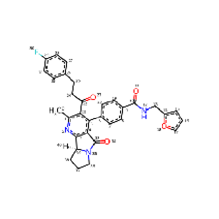 Cc1nc2c(c(-c3ccc(C(=O)NCc4ccco4)cc3)c1C(=O)CCc1ccc(F)cc1)C(=O)N1CCC[C@@H]21